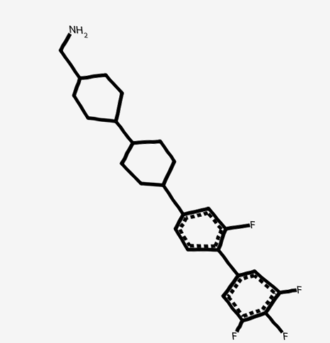 NCC1CCC(C2CCC(c3ccc(-c4cc(F)c(F)c(F)c4)c(F)c3)CC2)CC1